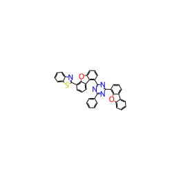 c1ccc(-c2nc(-c3cccc4c3oc3ccccc34)nc(-c3cccc4oc5c(-c6nc7ccccc7s6)cccc5c34)n2)cc1